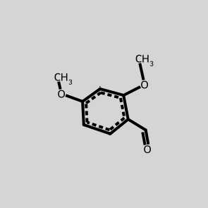 COc1[c]c(OC)c(C=O)cc1